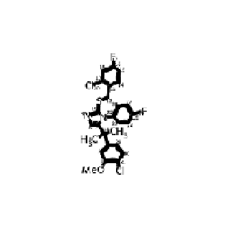 COc1cc(C(C)(C)c2cnc(SCc3ccc(F)cc3Cl)n2-c2ccc(F)cc2)ccc1Cl